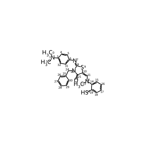 CN(C)c1ccc(N=C2S/C(=C/N(C)c3ccccc3S)C(=O)N2Cc2ccccc2)cc1